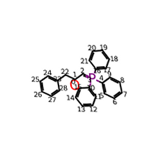 O=C(C=P(c1ccccc1)(c1ccccc1)c1ccccc1)Cc1ccccc1